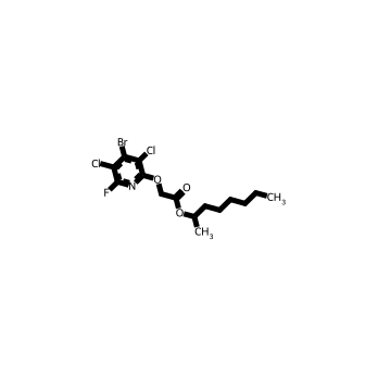 CCCCCCC(C)OC(=O)COc1nc(F)c(Cl)c(Br)c1Cl